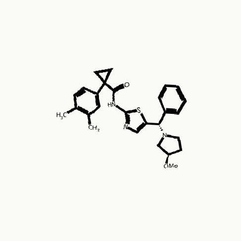 CO[C@@H]1CCN([C@@H](c2ccccc2)c2cnc(NC(=O)C3(c4ccc(C)c(C)c4)CC3)s2)C1